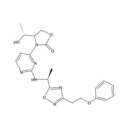 C[C@H](Nc1nccc(N2C(=O)OCC2[C@@H](C)O)n1)c1nc(CCOc2ccccc2)no1